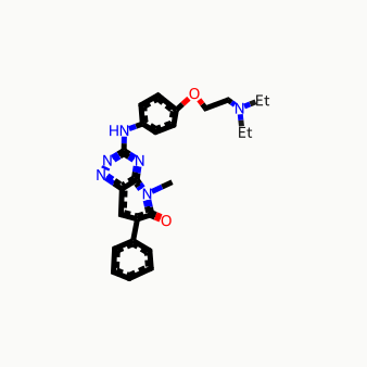 CCN(CC)CCOc1ccc(Nc2nnc3cc(-c4ccccc4)c(=O)n(C)c3n2)cc1